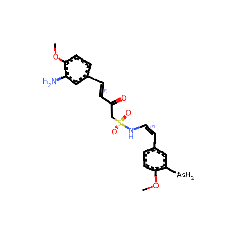 COc1ccc(/C=C/C(=O)CS(=O)(=O)N/C=C\c2ccc(OC)c([AsH2])c2)cc1N